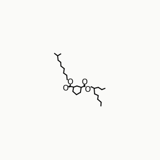 CCCCCC(CCC)COC(=O)C1CCCC(C(=O)OCCCCCCCC(C)C)C1